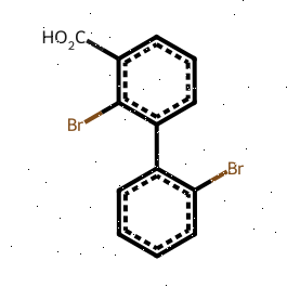 O=C(O)c1cccc(-c2ccccc2Br)c1Br